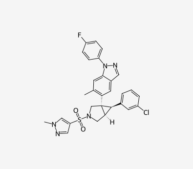 Cc1cc2c(cnn2-c2ccc(F)cc2)cc1[C@@]12CN(S(=O)(=O)c3cnn(C)c3)C[C@@H]1[C@@H]2c1cccc(Cl)c1